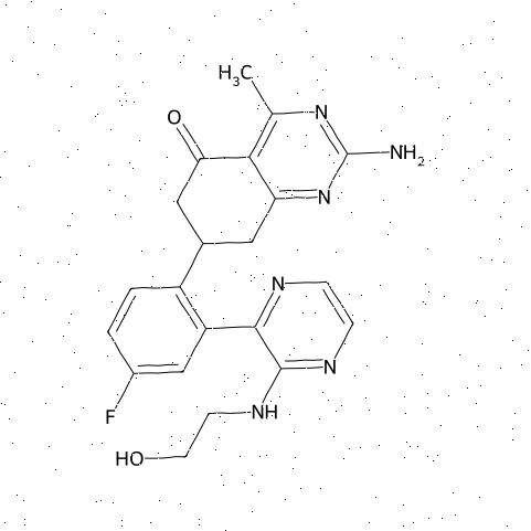 Cc1nc(N)nc2c1C(=O)CC(c1ccc(F)cc1-c1nccnc1NCCO)C2